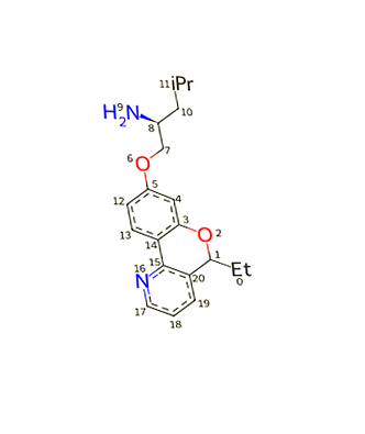 CCC1Oc2cc(OC[C@@H](N)CC(C)C)ccc2-c2ncccc21